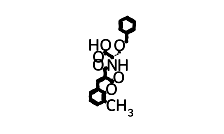 Cc1cccc2cc(C(=O)N[C@@H](COCc3ccccc3)C(=O)O)c(=O)oc12